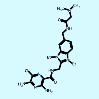 CCn1c(CNC(=O)c2nc(Cl)c(N)nc2N)[n+](CC)c2ccc(CNC(=O)CN(C)C)cc21